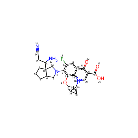 COc1c(N2CC3CCCC3(C(N)CC#N)C2)c(F)cc2c(=O)c(C(=O)O)cn(C3CC3)c12